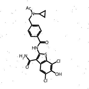 CC(=O)N(Cc1ccc(C(=O)Nc2sc3c(Cl)c(O)c(Cl)cc3c2C(N)=O)cc1)C1CC1